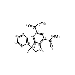 CNC(=O)c1cc(C(=O)OC)cc2c1OCC2(C)c1ccccc1